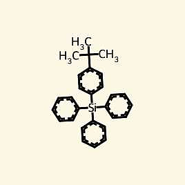 CC(C)(C)c1ccc([Si](c2ccccc2)(c2ccccc2)c2ccccc2)cc1